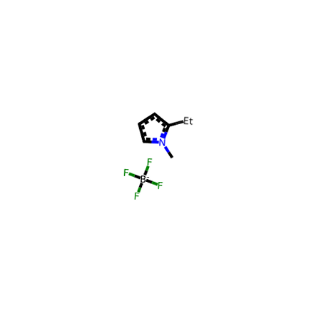 CCc1cccn1C.F[B-](F)(F)F